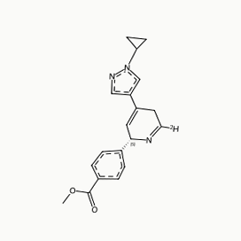 [2H]C1=N[C@H](c2ccc(C(=O)OC)cc2)C=C(c2cnn(C3CC3)c2)C1